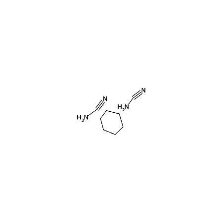 C1CCCCC1.N#CN.N#CN